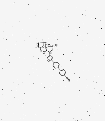 CNC(=O)[C@@H](NC(=O)[C@@H](CC(=O)O)c1coc(-c2ccc(-c3ccc(C#N)cc3)cc2)c1)C(C)(C)C